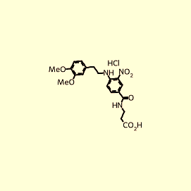 COc1ccc(CCNc2ccc(C(=O)NCCC(=O)O)cc2[N+](=O)[O-])cc1OC.Cl